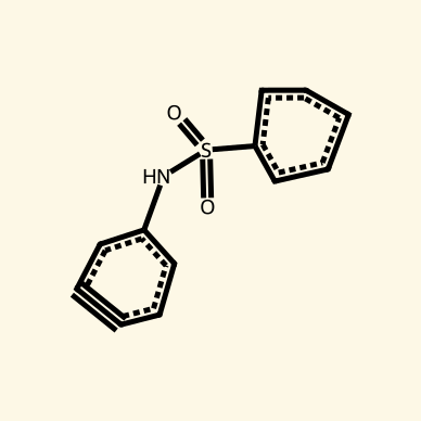 O=S(=O)(Nc1cc#ccc1)c1ccccc1